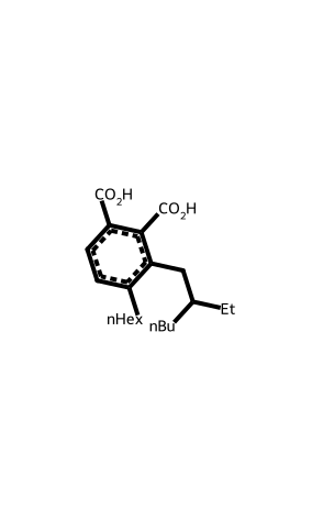 CCCCCCc1ccc(C(=O)O)c(C(=O)O)c1CC(CC)CCCC